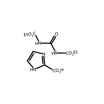 CCOC(=O)NC(=O)NC(=O)OCC.O=C(O)c1ncc[nH]1